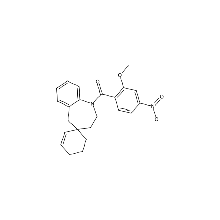 COc1cc([N+](=O)[O-])ccc1C(=O)N1CCC2(C=CCCC2)Cc2ccccc21